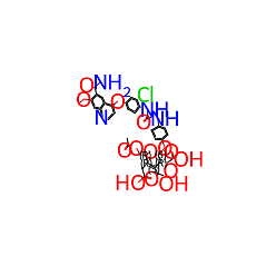 COc1cc2nccc(Oc3ccc(NC(=O)Nc4ccc(O[C@@H]5O[C@@H](COC(C)=O)[C@H](CC(=O)O)[C@H](CC(=O)O)[C@H]5CC(=O)O)cc4)c(Cl)c3)c2cc1C(N)=O